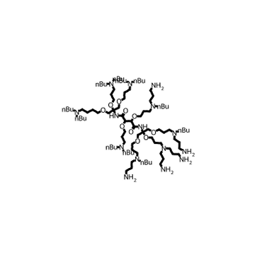 CCCCN(CCCC)CCCCOCC(COCCCN(CCCC)CCCC)(NC(=O)C(OCCCN(CCCC)CCCC)C(OCCCN(CCCC)CCCN)C(=O)NC(COCCCN(CCCC)CCCN)(COCCCN(CCCC)CCCN)OCCCN(CCCN)CCCN)OCCCN(CCCC)CCCC